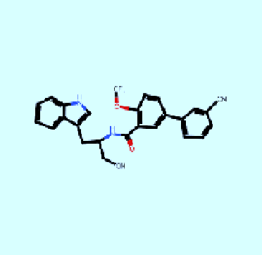 N#CCC(Cc1c[nH]c2ccccc12)NC(=O)c1cc(-c2cccc(C#N)c2)ccc1OC(F)(F)F